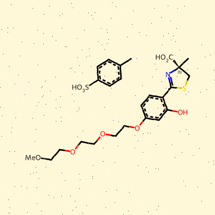 COCCOCCOCCOc1ccc(C2=N[C@@](C)(C(=O)O)CS2)c(O)c1.Cc1ccc(S(=O)(=O)O)cc1